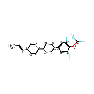 C/C=C/[C@H]1CC[C@H]([C@H]2CC[C@H](c3cc(F)c(OC(F)F)c(F)c3)CC2)CC1